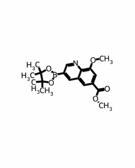 COC(=O)c1cc(OC)c2ncc(B3OC(C)(C)C(C)(C)O3)cc2c1